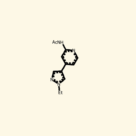 CCn1cc(-c2ccnc(NC(C)=O)c2)cn1